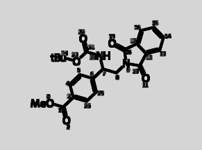 COC(=O)c1ccc(C(CN2C(=O)c3ccccc3C2=O)NC(=O)OC(C)(C)C)cc1